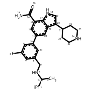 CC(C)[C@H](C)NCc1cc(F)cc(-c2cc(C(N)=O)c3[nH]cc(C4CCNCC4)c3c2)c1